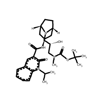 CC(C)n1c(=O)c(C(=O)N[C@@H]2C[C@H]3CC[C@@H](C2)N3C[C@H](O)CN(C)C(=O)OC(C)(C)C)cc2ccccc21